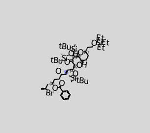 C=C(Br)C[C@H](CCC(=O)/C=C/[C@H](O[Si](C)(C)C(C)(C)C)[C@@H]1O[C@H]2CC[C@H](CCO[Si](CC)(CC)CC)O[C@@H]2[C@H](O[Si](C)(C)C(C)(C)C)[C@@H]1O[Si](C)(C)C(C)(C)C)OC(=O)c1ccccc1